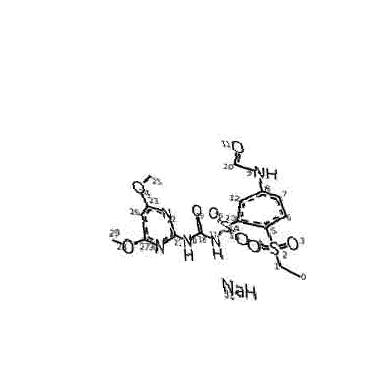 CCS(=O)(=O)c1ccc(NC=O)cc1S(=O)(=O)NC(=O)Nc1nc(OC)cc(OC)n1.[NaH]